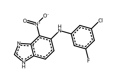 O=[N+]([O-])c1c(Nc2cc(F)cc(Cl)c2)ccc2[nH]cnc12